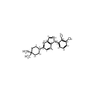 CC1(N)CCN(c2cnc3c(cnn3-c3cccc(Cl)c3Cl)n2)CC1